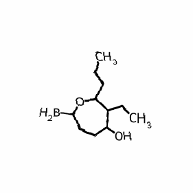 BC1CCC(O)C(CC)C(CCC)O1